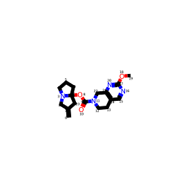 C=C1CN2CCCC2(OC(=O)N2CCc3cnc(OC)nc3C2)C1